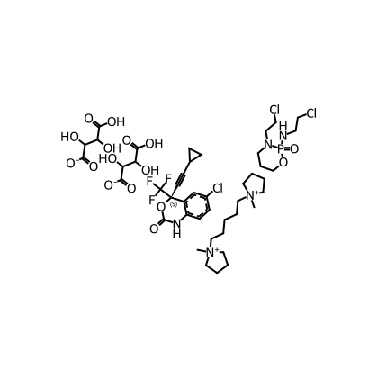 C[N+]1(CCCCC[N+]2(C)CCCC2)CCCC1.O=C([O-])C(O)C(O)C(=O)O.O=C([O-])C(O)C(O)C(=O)O.O=C1Nc2ccc(Cl)cc2[C@@](C#CC2CC2)(C(F)(F)F)O1.O=P1(NCCCl)OCCCN1CCCl